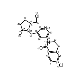 O=C1c2ccc(Cl)cc2CCN1c1cncc(CN2C(=O)CC[C@H]2CO)c1